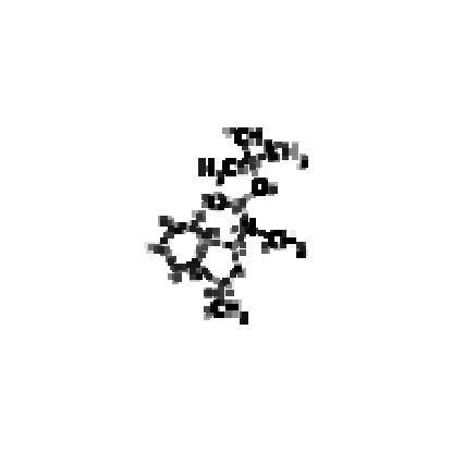 C[C@@H]1CC(N(C)C(=O)OC(C)(C)C)c2ccccc21